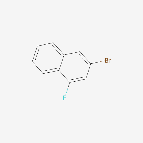 Fc1cc(Br)[c]c2ccccc12